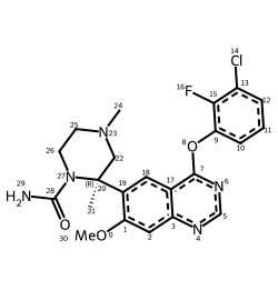 COc1cc2ncnc(Oc3cccc(Cl)c3F)c2cc1[C@]1(C)CN(C)CCN1C(N)=O